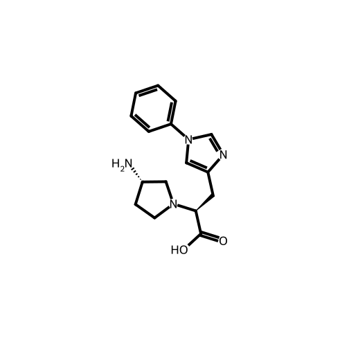 N[C@H]1CCN([C@@H](Cc2cn(-c3ccccc3)cn2)C(=O)O)C1